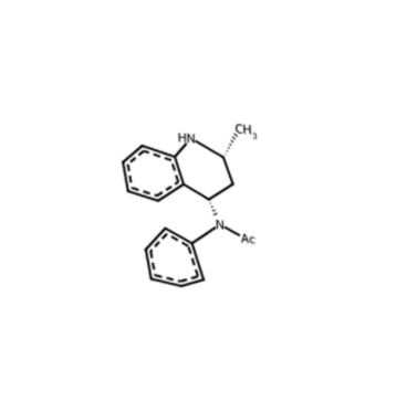 CC(=O)N(c1ccccc1)[C@H]1C[C@@H](C)Nc2ccccc21